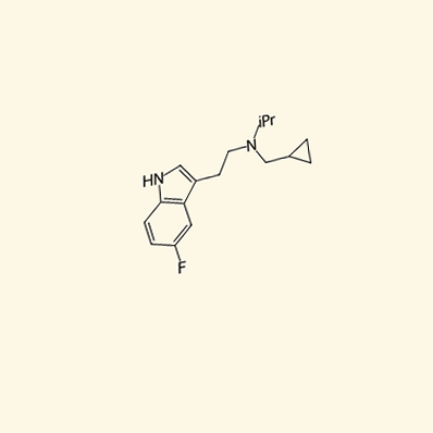 CC(C)N(CCc1c[nH]c2ccc(F)cc12)CC1CC1